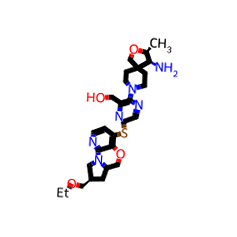 CCOC[C@@H]1CC2COc3c(Sc4cnc(N5CCC6(CC5)CO[C@@H](C)[C@H]6N)c(CO)n4)ccnc3N2C1